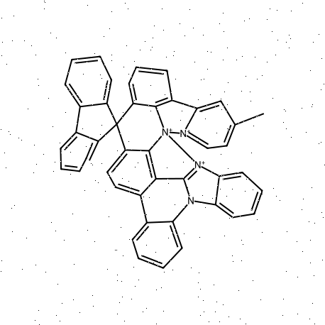 Cc1cc[n+]2c(c1)-c1cccc3c1[N+]21c2c(ccc4c5ccccc5n5c6ccccc6[n+]1c5c24)C31c2ccccc2-c2ccccc21